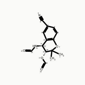 CC1(C)Oc2ccc(C#N)cc2[C@H](NC=O)[C@H]1OC=O